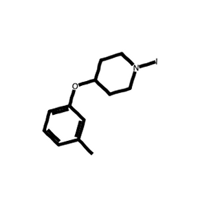 Cc1cccc(OC2CCN(I)CC2)c1